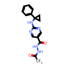 O=C(NNC(=O)C(F)(F)F)c1cnc(NC2(c3ccccc3)CC2)nc1